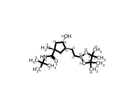 CC(C)(C)NC(=O)[C@@]1(N)C[C@H](CCB2OC(C)(C)C(C)(C)O2)[C@@H](O)C1